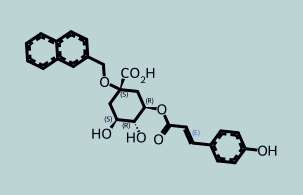 O=C(/C=C/c1ccc(O)cc1)O[C@@H]1C[C@](OCc2ccc3ccccc3c2)(C(=O)O)C[C@H](O)[C@H]1O